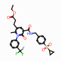 CCOC(=O)CCc1cc(C(=O)NCc2ccc(S(=O)(=O)C3CC3)cc2)c(=O)n(-c2cccc(C(F)(F)F)c2)c1C